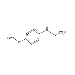 CCCCCOc1ccc(NCC(=O)O)cc1